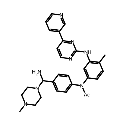 CC(=O)N(c1ccc(C(N)N2CCN(C)CC2)cc1)c1ccc(C)c(Nc2nccc(-c3cccnc3)n2)c1